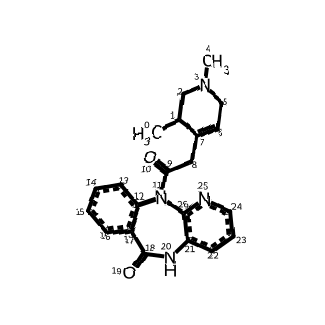 CC1CN(C)CC=C1CC(=O)N1c2ccccc2C(=O)Nc2cccnc21